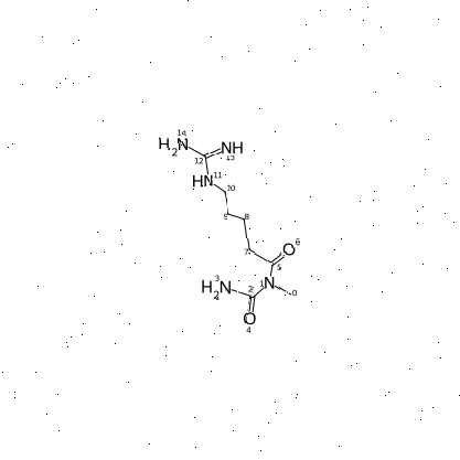 CN(C(N)=O)C(=O)[CH]CCCNC(=N)N